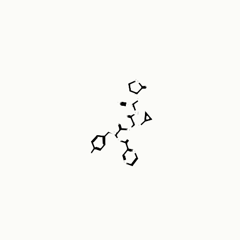 N#C[C@H](C[C@@H]1CCNC1=O)NC(=O)[C@H](CC1CC1)NC(=O)[C@H](Cc1ccc(F)cc1)NC(=O)c1cnccn1